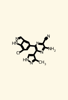 Cc1n[nH]cc1-c1nc(N)c(C#N)nc1-c1cc(Cl)c2[nH]ncc2c1